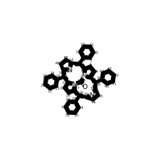 O=c1n2c3ccc2c(-c2ccccc2)c2nc(c(-c4ccccc4)c4ccc(c(-c5ccccc5)c5nc(c3-c3ccccc3)C=C5)n14)C=C2